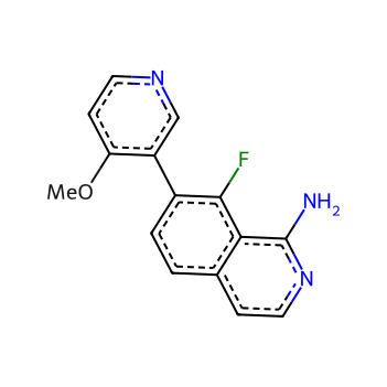 COc1ccncc1-c1ccc2ccnc(N)c2c1F